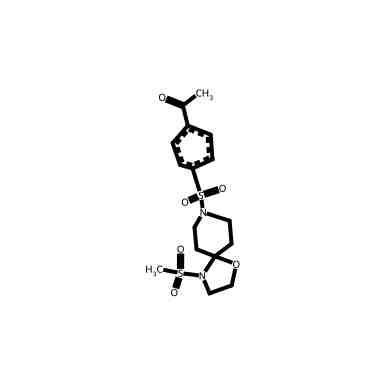 CC(=O)c1ccc(S(=O)(=O)N2CCC3(CC2)OCCN3S(C)(=O)=O)cc1